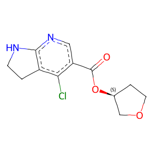 O=C(O[C@H]1CCOC1)c1cnc2c(c1Cl)CCN2